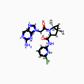 Nc1ncc2ncn(CC(=O)N3C(C(=O)Nc4cccc(Br)n4)C[C@H]4C[C@@H]43)c2n1